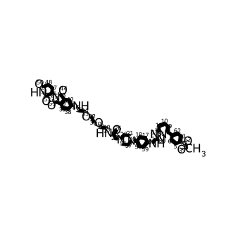 CS(=O)(=O)c1ccc(-c2cccc3nc(Nc4ccc(N5CCN(CC(=O)NCCOCCOCCNc6ccc7c(c6)C(=O)N(C6CCC(=O)NC6=O)C7=O)CC5)cc4)nn23)cc1